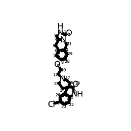 O=C1NCC2Cc3cc(OCCN4CCC5(CC4)C(=O)Nc4ccc(Cl)cc45)ccc3CN12